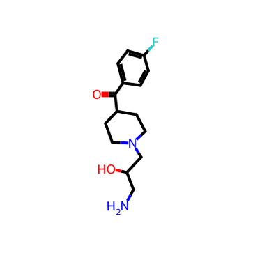 NCC(O)CN1CCC(C(=O)c2ccc(F)cc2)CC1